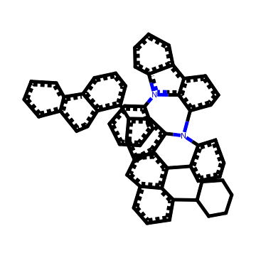 c1ccc(-n2c3ccccc3c3cccc(N(c4cccc(-c5cccc6c5ccc5ccccc56)c4)c4ccccc4-c4cccc5cccc(C6CCCCC6)c45)c32)cc1